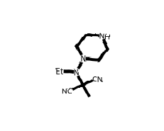 CCN(N1CCNCC1)C(C)(C#N)C#N